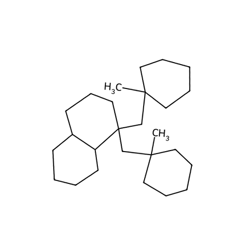 CC1(CC2(CC3(C)CCCCC3)CCCC3CCCCC32)CCCCC1